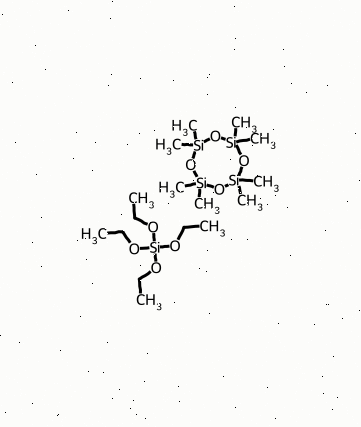 CCO[Si](OCC)(OCC)OCC.C[Si]1(C)O[Si](C)(C)O[Si](C)(C)O[Si](C)(C)O1